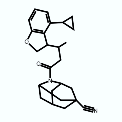 CC(CC(=O)N1C2CC3CC1CC(C#N)(C3)C2)C1COc2cccc(C3CC3)c21